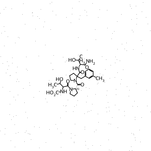 Cc1cccc(CC2(C(=O)NC(C(N)=O)C(C)O)CCCN2C(=O)[C@@H]2CCCN2C(=O)C(NC(=O)O)C(C)O)c1